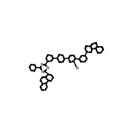 N#Cc1cc(-c2ccc(-c3cccc(-c4nc(-c5ccccc5)nc(-c5cccc6c5ccc5ccccc56)n4)c3)cc2)ccc1-c1cccc(-c2ccc3ccc4ccccc4c3c2)c1